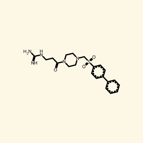 N=C(N)NCCC(=O)N1CCN(CS(=O)(=O)c2ccc(-c3ccccc3)cc2)CC1